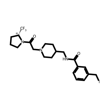 O=C(NCC1CCN(CC(=O)N2CCC[C@@H]2C(F)(F)F)CC1)c1cccc(CI)c1